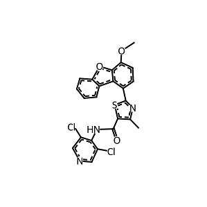 COc1ccc(-c2nc(C)c(C(=O)Nc3c(Cl)cncc3Cl)s2)c2c1oc1ccccc12